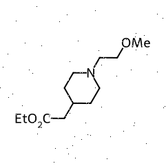 CCOC(=O)CC1CCN(CCOC)CC1